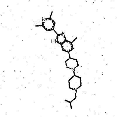 Cc1cc(-c2nc3c(C)cc(C4CCN(C5CCN(CC(C)C)CC5)CC4)cc3[nH]2)cc(C)n1